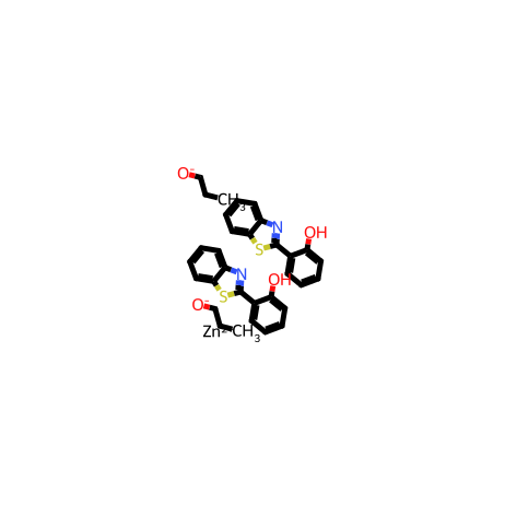 CCC[O-].CCC[O-].Oc1ccccc1-c1nc2ccccc2s1.Oc1ccccc1-c1nc2ccccc2s1.[Zn+2]